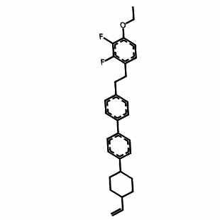 C=CC1CCC(c2ccc(-c3ccc(CCc4ccc(OCC)c(F)c4F)cc3)cc2)CC1